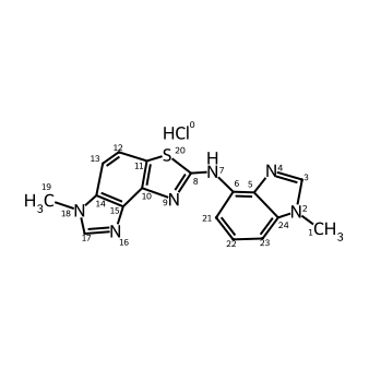 Cl.Cn1cnc2c(Nc3nc4c(ccc5c4ncn5C)s3)cccc21